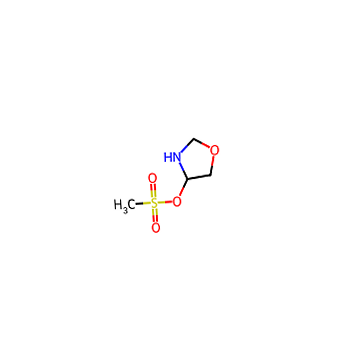 CS(=O)(=O)OC1COCN1